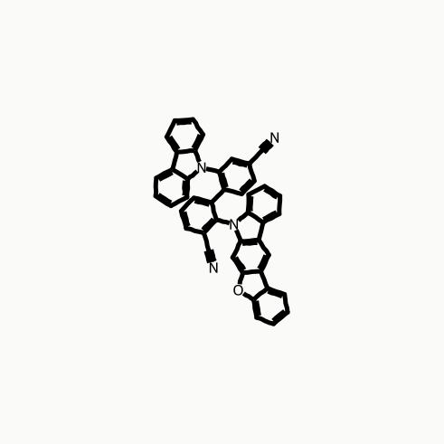 N#Cc1ccc(-c2cccc(C#N)c2-n2c3ccccc3c3cc4c(cc32)oc2ccccc24)c(-n2c3ccccc3c3ccccc32)c1